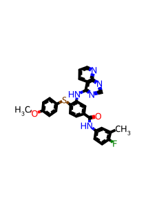 COc1ccc(Sc2ccc(C(=O)Nc3ccc(F)c(C)c3)cc2Nc2ncnc3ncccc23)cc1